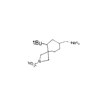 CC(C)(C)C1CC(CN)CCC12CN(C(=O)O)C2